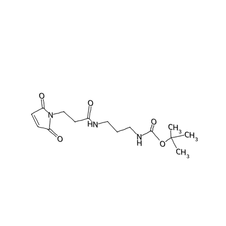 CC(C)(C)OC(=O)NCCCNC(=O)CCN1C(=O)C=CC1=O